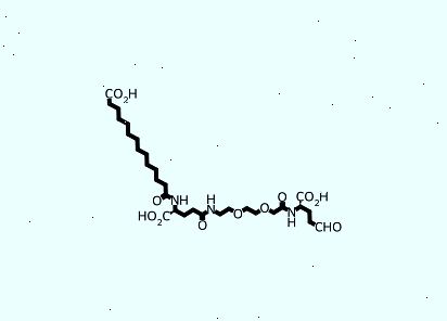 O=CCC[C@H](NC(=O)COCCOCCNC(=O)CC[C@H](NC(=O)CCCCCCCCCCCCC(=O)O)C(=O)O)C(=O)O